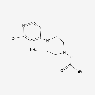 CC(C)(C)C(=O)ON1CCN(c2ncnc(Cl)c2N)CC1